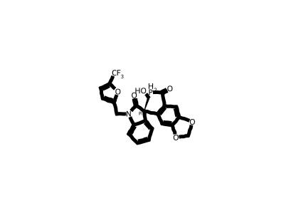 O=C(P)c1cc2c(cc1[C@@]1(CO)C(=O)N(Cc3ccc(C(F)(F)F)o3)c3ccccc31)OCO2